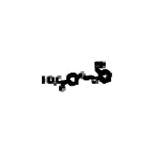 O=C(O)C(=O)c1ccc(OCCOc2ccccc2CO)cc1